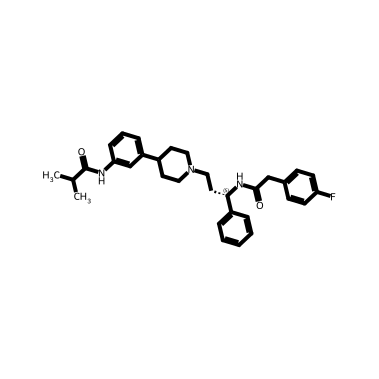 CC(C)C(=O)Nc1cccc(C2CCN(CC[C@H](NC(=O)Cc3ccc(F)cc3)c3ccccc3)CC2)c1